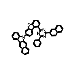 c1ccc(-c2nc(-c3ccc4ccccc4c3)nc(-c3cccc4sc5cc(-n6c7ccccc7c7cc8ccccc8cc76)ccc5c34)n2)cc1